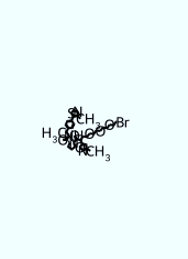 Cc1cc(C(CCOCCOCCOCCBr)C(=O)N2CCC[C@H]2C(=O)N[C@@H](C)c2ccc(-c3scnc3C)cc2)on1